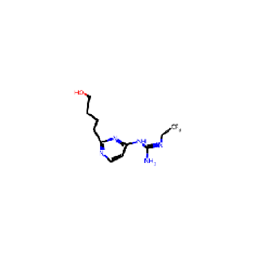 N/C(=N/CC(F)(F)F)Nc1ccnc(CCCCO)n1